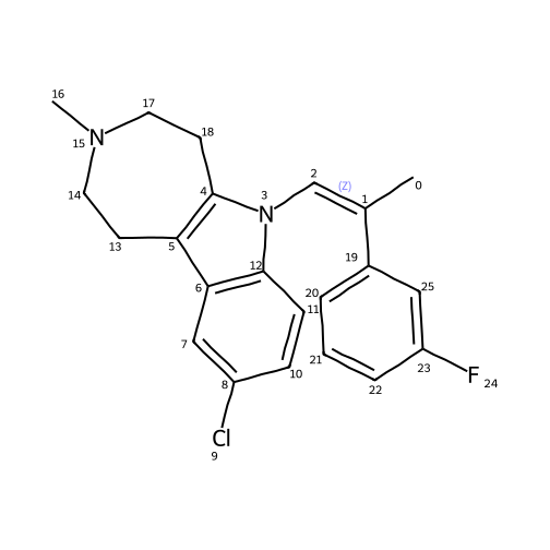 C/C(=C/n1c2c(c3cc(Cl)ccc31)CCN(C)CC2)c1cccc(F)c1